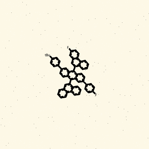 CC(C)(C)c1ccc(-c2ccc3c(-c4cc5ccccc5c5ccccc45)c4cc(-c5ccc(F)cc5)ccc4c(-c4cc5cc(F)ccc5c5ccccc45)c3c2)cc1